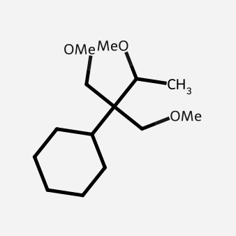 COCC(COC)(C1CCCCC1)C(C)OC